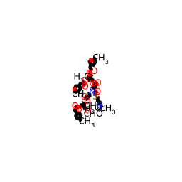 CC1CCC(CC(=O)OCC(C)(COC=O)COC(=O)CCN(CCC(=O)OCC(C)(COC(=O)CC2CCC(C)CC2)COC(=O)CC2CCC(C)CC2)C(=O)SCCCN(C)C)CC1